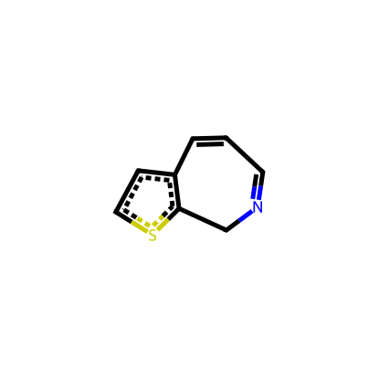 C1=Cc2ccsc2CN=C1